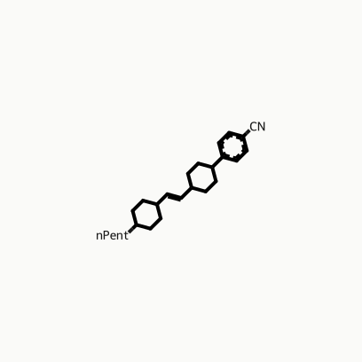 CCCCCC1CCC(C=CC2CCC(c3ccc(C#N)cc3)CC2)CC1